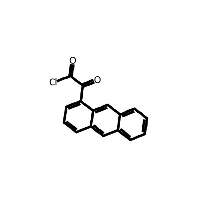 O=C(Cl)C(=O)c1cccc2cc3ccccc3cc12